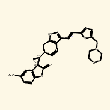 COc1ccc2c(c1)[C@]1(C[C@H]1C1C=Cc3c(/C=C/c4ccc(CN5CCOCC5)s4)n[nH]c3C1)C(=O)N2